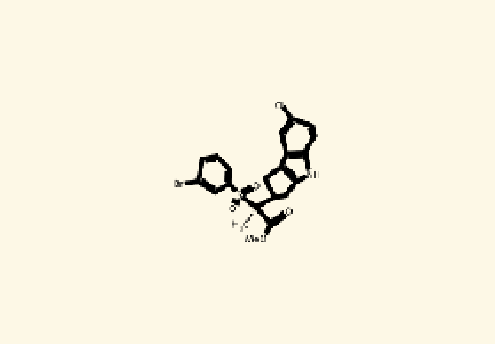 COC(=O)[C@](C)(C1Cc2[nH]c3ccc(Cl)cc3c2C1)S(=O)(=O)c1cccc(Br)c1